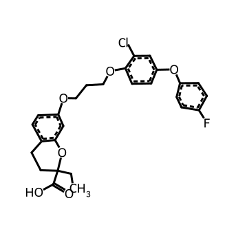 CCC1(C(=O)O)CCc2ccc(OCCCOc3ccc(Oc4ccc(F)cc4)cc3Cl)cc2O1